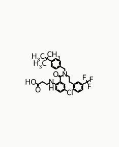 CC(C)(C)c1ccc(CN(CCc2cccc(C(F)(F)F)c2)C(=O)c2cc(Cl)ccc2NCCC(=O)O)cc1